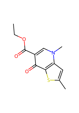 CCOC(=O)c1cn(C)c2cc(C)sc2c1=O